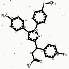 COc1ccc(-n2nc(C(CC(=O)O)c3ccc(F)cc3)cc2-c2ccc(C)cc2)cc1